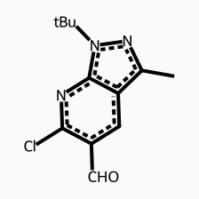 Cc1nn(C(C)(C)C)c2nc(Cl)c(C=O)cc12